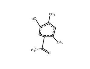 CC(=O)c1cc(O)c(C)cc1C